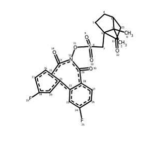 CC1(C)C2CCC1(CS(=O)(=O)On1c(=O)c3ccc(F)cc3c3cc(F)ccc3c1=O)C(=O)C2